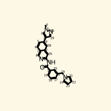 Cn1cc(-c2ccc3cnc(NC(=O)c4cccc(Cn5cccc5)c4)cc3c2)cn1